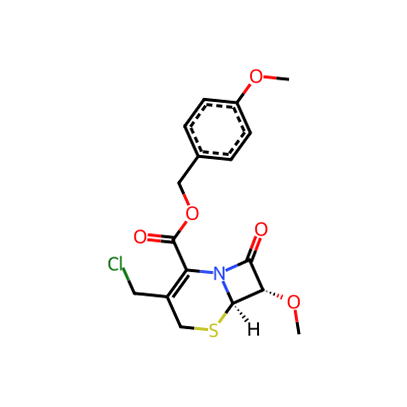 COc1ccc(COC(=O)C2=C(CCl)CS[C@@H]3[C@@H](OC)C(=O)N23)cc1